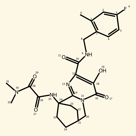 Cc1cc(F)ccc1CNC(=O)c1nc2n(c(=O)c1O)CC1CCC2(NC(=O)C(=O)N(C)C)CC1